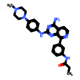 CCC(=O)Nc1cccc(-c2nccc3c(N)nc(Nc4ccc(N5CCN(C)CC5)cc4)nc23)c1